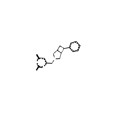 O=c1cc(CN2CC3CC(c4ccccc4)C3C2)[nH]c(=O)[nH]1